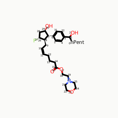 CCCCCC(O)c1ccc([C@@H]2[C@@H](C/C=C\CCCC(=O)OCCN3CCOCC3)[C@H](F)C[C@H]2O)cc1